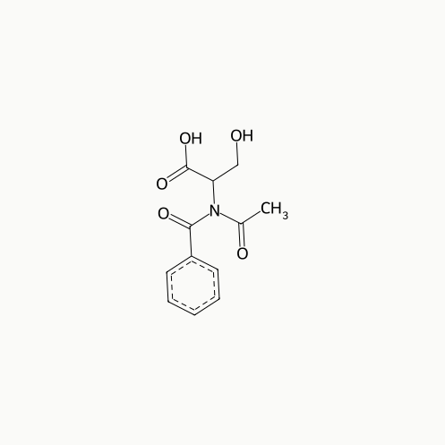 CC(=O)N(C(=O)c1ccccc1)C(CO)C(=O)O